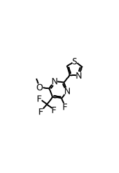 COc1nc(-c2cscn2)nc(F)c1C(F)(F)F